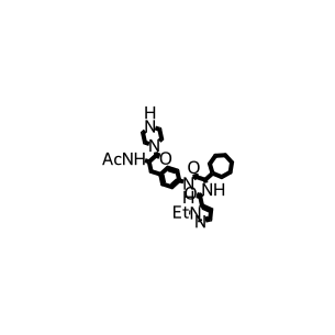 CCn1nccc1C(=O)NC(C(=O)Nc1ccc(CC(NC(C)=O)C(=O)N2CCNCC2)cc1)C1CCCCCC1